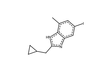 Cc1cc(I)cc2nc(CC3CC3)[nH]c12